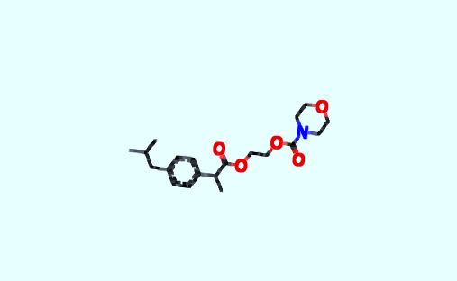 CC(C)Cc1ccc(C(C)C(=O)OCCOC(=O)N2CCOCC2)cc1